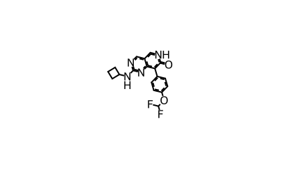 O=c1[nH]cc2cnc(NC3CCC3)nc2c1-c1ccc(OC(F)F)cc1